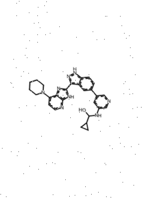 OC(Nc1cncc(-c2ccc3[nH]nc(-c4nc5c(N6CCCCC6)ccnc5[nH]4)c3c2)c1)C1CC1